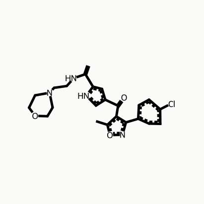 C=C(NCCN1CCOCC1)c1cc(C(=O)c2c(-c3ccc(Cl)cc3)noc2C)c[nH]1